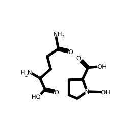 NC(=O)CCC(N)C(=O)O.O=C(O)C1CCCN1O